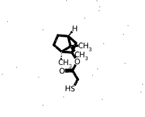 CC1(C)[C@@H]2CC[C@]1(C)C(OC(=O)CS)C2